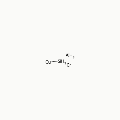 [AlH3].[Cr].[SiH3][Cu]